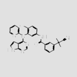 CC(C)(C#N)c1cccc(C(=O)Nc2ccc(Cl)c(N(c3ccccn3)c3ncnc4[nH]ccc34)c2)c1